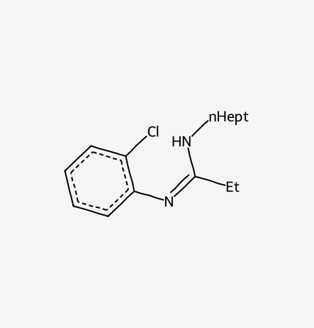 CCCCCCCN/C(CC)=N\c1ccccc1Cl